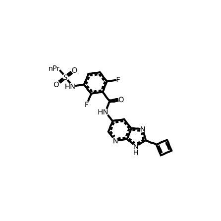 CCCS(=O)(=O)Nc1ccc(F)c(C(=O)Nc2cnc3[nH]c(C4=CC=C4)nc3c2)c1F